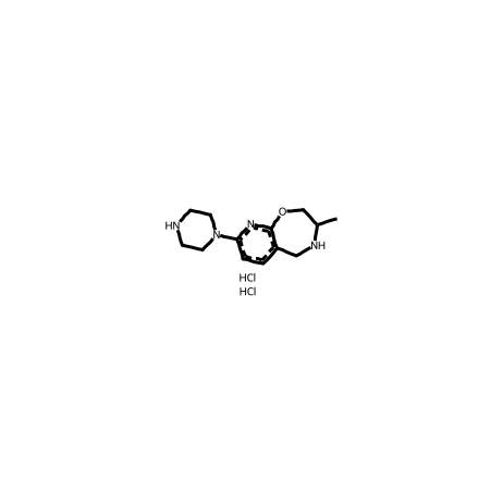 CC1COc2nc(N3CCNCC3)ccc2CN1.Cl.Cl